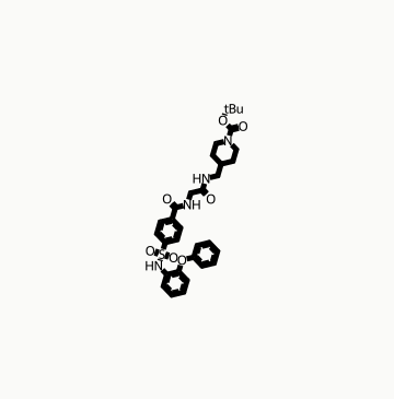 CC(C)(C)OC(=O)N1CCC(CNC(=O)CNC(=O)c2ccc(S(=O)(=O)Nc3ccccc3Oc3ccccc3)cc2)CC1